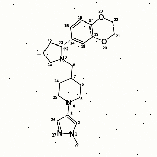 Cn1cc(N2CCC(CN3CCC[C@@H]3c3ccc4c(c3)OCCO4)CC2)cn1